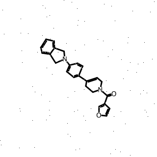 O=C(c1ccoc1)N1CC=C(c2ccc(N3Cc4ccccc4C3)cc2)CC1